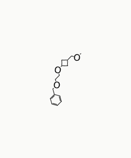 COCC1CC(OCCOCc2ccccc2)C1